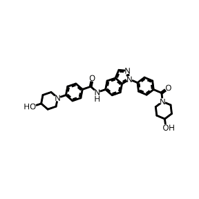 O=C(Nc1ccc2c(cnn2-c2ccc(C(=O)N3CCC(O)CC3)cc2)c1)c1ccc(N2CCC(O)CC2)cc1